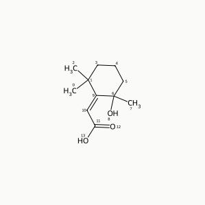 CC1(C)CCCC(C)(O)C1=CC(=O)O